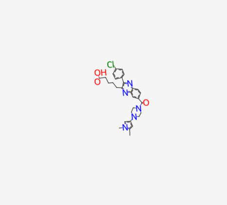 Cc1cc(N2CCN(C(=O)c3ccc4nc(-c5ccc(Cl)cc5)c(CCCCC(=O)O)nc4c3)CC2)cn1C